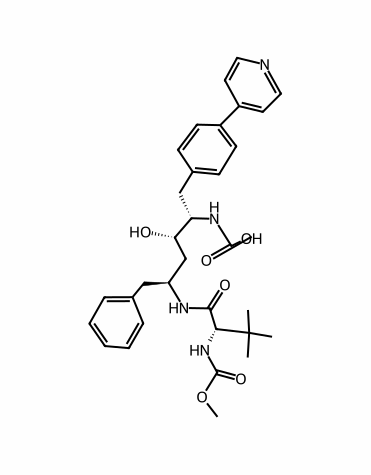 COC(=O)N[C@H](C(=O)N[C@@H](Cc1ccccc1)C[C@H](O)[C@H](Cc1ccc(-c2ccncc2)cc1)NC(=O)O)C(C)(C)C